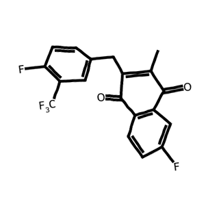 CC1=C(Cc2ccc(F)c(C(F)(F)F)c2)C(=O)c2ccc(F)cc2C1=O